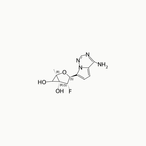 C[C@]12O[C@@H](c3ccc4c(N)ncnn34)[C@H](F)[C@@]1(O)C2O